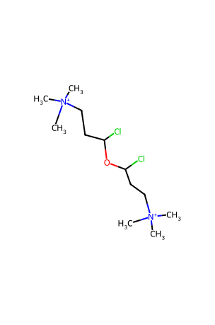 C[N+](C)(C)CCC(Cl)OC(Cl)CC[N+](C)(C)C